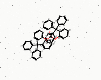 O=C(Oc1ccccc1C(c1ccccc1)(c1ccccc1)c1ccccc1)Oc1ccccc1C(c1ccccc1)(c1ccccc1)c1ccccc1